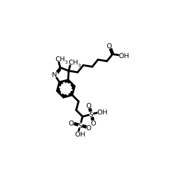 CC1=[N+]c2ccc(CCC(S(=O)(=O)O)S(=O)(=O)O)cc2C1(C)CCCCCC(=O)O